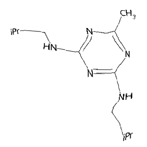 Cc1nc(NCC(C)C)nc(NCC(C)C)n1